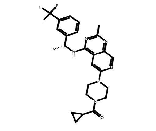 Cc1nc(N[C@H](C)c2cccc(C(F)(F)F)c2)c2cc(P3CCN(C(=O)C4CC4)CC3)ncc2n1